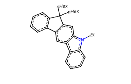 CCCCCCC1(CCCCCC)c2ccccc2-c2cc3c4ccccc4n(CC)c3cc21